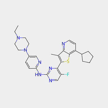 CCN1CCN(c2ccc(Nc3ncc(F)c(-c4sc5c(C6CCCC6)ccnc5c4C)n3)nc2)CC1